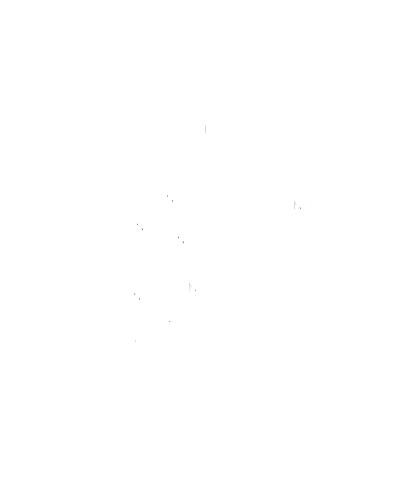 COc1cc(C(N)=O)ccc1Nc1ncc2c(n1)N(C1CCCC1)CC1(CCC1)C(=O)N2C